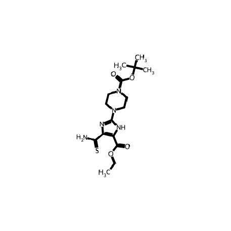 CCOC(=O)c1[nH]c(N2CCN(C(=O)OC(C)(C)C)CC2)nc1C(N)=S